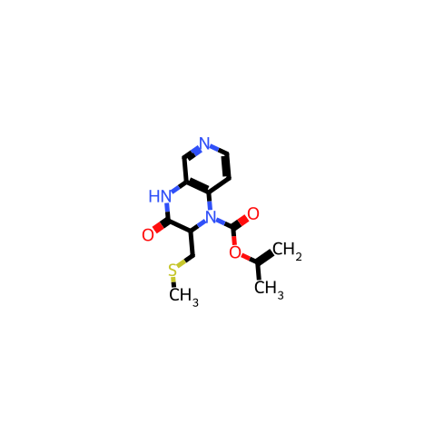 C=C(C)OC(=O)N1c2ccncc2NC(=O)C1CSC